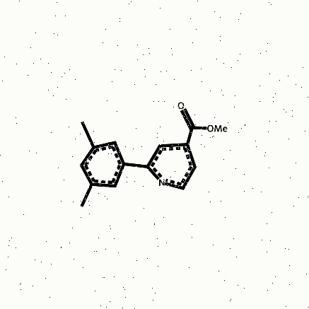 COC(=O)c1ccnc(-c2cc(C)cc(C)c2)c1